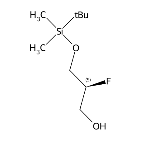 CC(C)(C)[Si](C)(C)OC[C@@H](F)CO